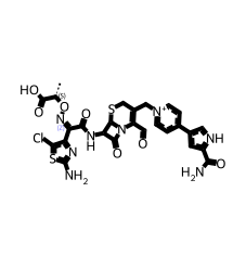 C[C@H](O/N=C(\C(=O)NC1C(=O)N2C(C=O)=C(C[n+]3ccc(-c4c[nH]c(C(N)=O)c4)cc3)CSC12)c1nc(N)sc1Cl)C(=O)O